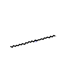 [CH2]CCCCCCCCCCC/C=C/CCCCCCCCCCCCCCCC